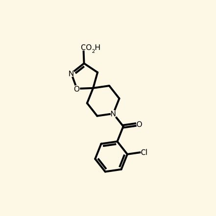 O=C(O)C1=NOC2(CCN(C(=O)c3ccccc3Cl)CC2)C1